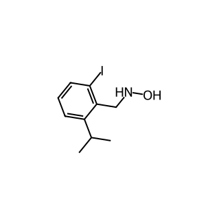 CC(C)c1cccc(I)c1CNO